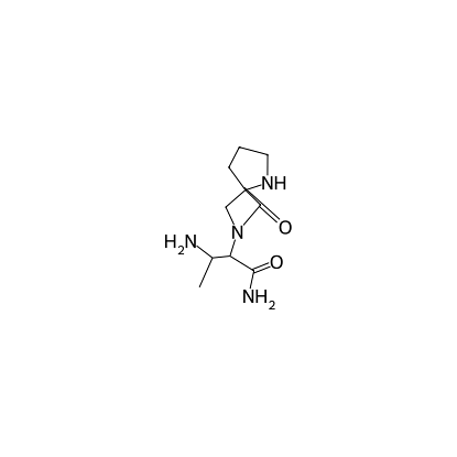 CC(N)C(C(N)=O)N1CC2(CCCN2)C1=O